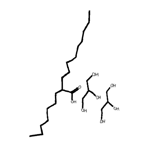 CCCCCCCCCC(CCCCCCC)C(=O)O.OCC(O)CO.OCC(O)CO